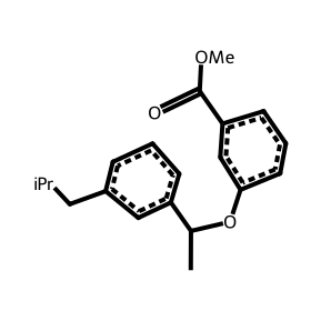 COC(=O)c1cccc(OC(C)c2cccc(CC(C)C)c2)c1